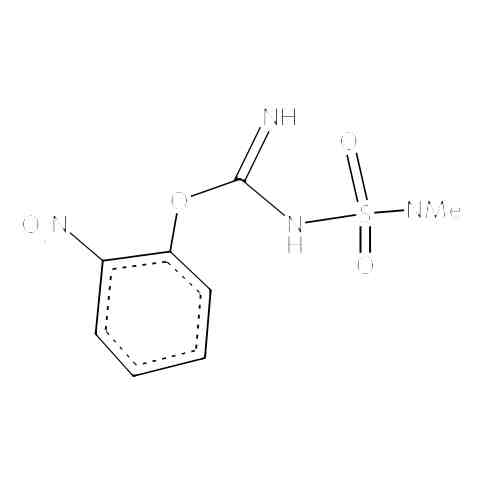 CNS(=O)(=O)NC(=N)Oc1ccccc1[N+](=O)[O-]